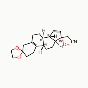 CCC12CC[C@@H]3C4=C(CC[C@H]3[C@@H]1C=C[C@@]2(O)CC#N)CC1(CC4)OCCO1